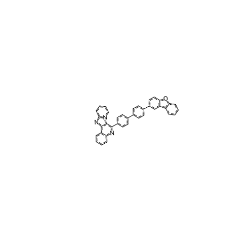 c1ccc2c(c1)nc(-c1ccc(-c3ccc(-c4ccc5oc6ccccc6c5c4)cc3)cc1)c1c2nc2ccccn21